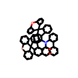 c1ccc(-c2ccccc2N(c2cccc3c2-c2ccccc2C32c3ccccc3Oc3ccccc32)c2cccc3ccc4c(c23)-c2ccccc2C42c3ccccc3Sc3ccccc32)cc1